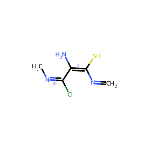 C=N/C(S)=C(N)\C(Cl)=N/C